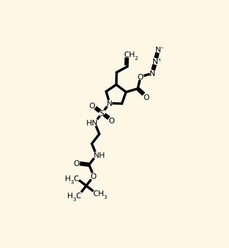 C=CCC1CN(S(=O)(=O)NCCNC(=O)OC(C)(C)C)CC1C(=O)ON=[N+]=[N-]